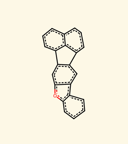 c1cc2c3c(cccc3c1)-c1cc3c(cc1-2)oc1ccccc13